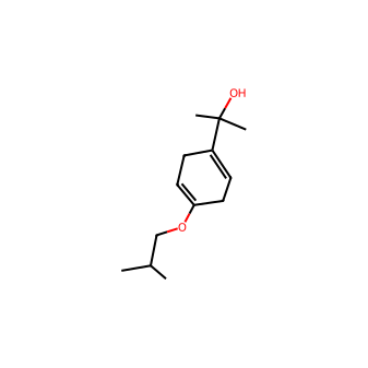 CC(C)COC1=CCC(C(C)(C)O)=CC1